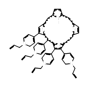 C=CCN1C=CC(C2=Cc3cc4ccc(cc5nc(cc6[nH]c(c(C7=CCN(CC=C)C=C7)c2n3)c(C2=CCN(CC=C)C=C2)c6C2=CCN(CC=C)C=C2)C=C5)[nH]4)=CC1